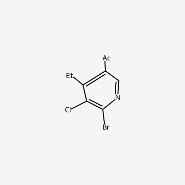 CCc1c(C(C)=O)cnc(Br)c1Cl